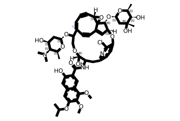 COc1c(OC(C)C)cc2cc(O)c(C(=O)NC3Cc4ccc(c(Cl)n4)O[C@H]4C=C5C#C/C(=C\C#C[C@@H]6OC56[C@@H]4O[C@H]4C[C@@](C)(O)[C@@H](O)[C@H](C)O4)C(O[C@H]4C[C@H](O)[C@H](N(C)C)[C@H](C)O4)CO[C@H]3O)cc2c1OC